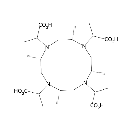 CC(C(=O)O)N1C[C@H](C)N(C(C)C(=O)O)C[C@H](C)N(C(C)C(=O)O)C[C@H](C)N(C(C)C(=O)O)C[C@@H]1C